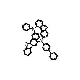 c1ccc(-c2ccc(N(c3ccc4oc5ccccc5c4c3)c3ccc4sc5cccc(N(c6ccccc6)c6ccccc6)c5c4c3)cc2)cc1